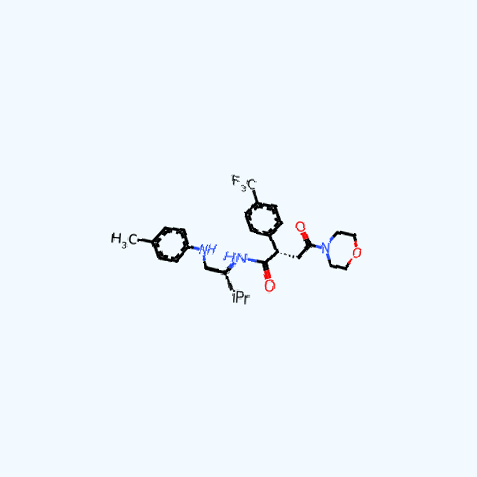 Cc1ccc(NC[C@@H](NC(=O)[C@@H](CC(=O)N2CCOCC2)c2ccc(C(F)(F)F)cc2)C(C)C)cc1